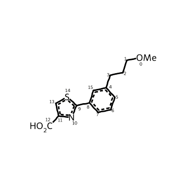 COCCCc1cccc(-c2nc(C(=O)O)cs2)c1